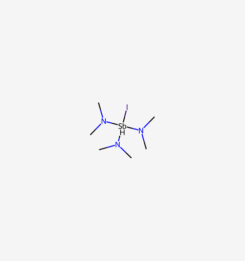 C[N](C)[SbH]([I])([N](C)C)[N](C)C